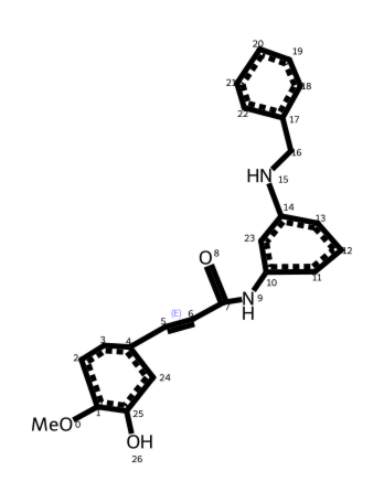 COc1ccc(/C=C/C(=O)Nc2cccc(NCc3ccccc3)c2)cc1O